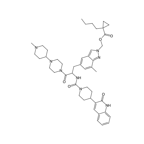 CCCCC1(C(=O)OCn2cc3cc(CC(NC(=O)N4CCC(c5cc6ccccc6[nH]c5=O)CC4)C(=O)N4CCN(C5CCN(C)CC5)CC4)cc(C)c3n2)CC1